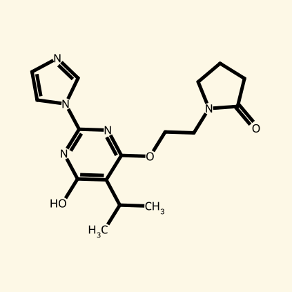 CC(C)c1c(O)nc(-n2ccnc2)nc1OCCN1CCCC1=O